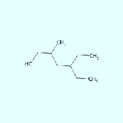 [CH]CC(C)CC(CC)CC